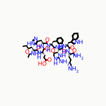 CCCC[C@H](NC(C)=O)C(=O)N[C@@H](CCC(=O)O)C(=O)N[C@@H](Cc1c[nH]cn1)C(=O)N[C@@H](Cc1ccccc1)C(=O)N[C@@H](CCCNC(=N)N)C(=O)N[C@@H](Cc1c[nH]c2ccccc12)C(=O)N[C@@H](CCCCN)C(N)=O